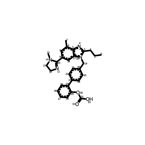 CCCc1nc2c(C)cc(C3=NCCN3C)cc2n1Cc1ccc(-c2ccccc2OC(=O)O)cc1